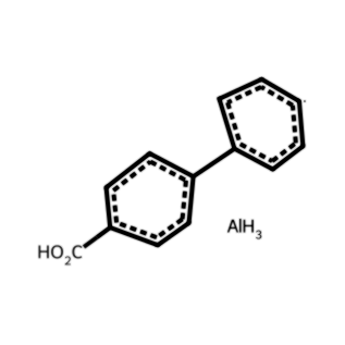 O=C(O)c1ccc(-c2cc[c]cc2)cc1.[AlH3]